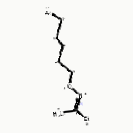 CC/C(C)=N/OCCCCCC(C)=O